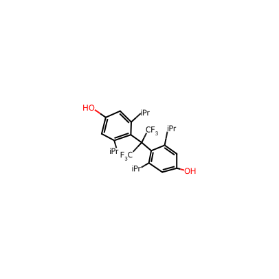 CC(C)c1cc(O)cc(C(C)C)c1C(c1c(C(C)C)cc(O)cc1C(C)C)(C(F)(F)F)C(F)(F)F